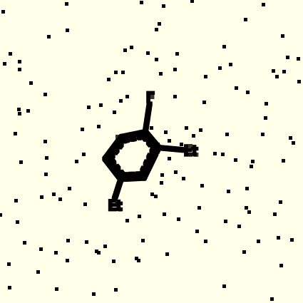 CCc1c[c]c(F)c(CC)c1